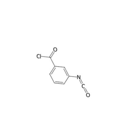 O=C=Nc1cccc(C(=O)Cl)c1